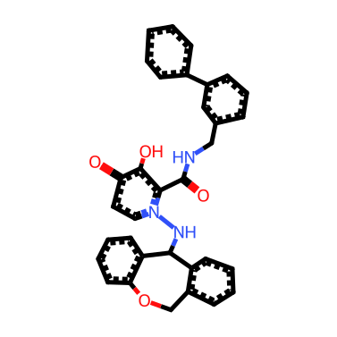 O=C(NCc1cccc(-c2ccccc2)c1)c1c(O)c(=O)ccn1NC1c2ccccc2COc2ccccc21